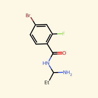 CCC(N)NC(=O)c1ccc(Br)cc1F